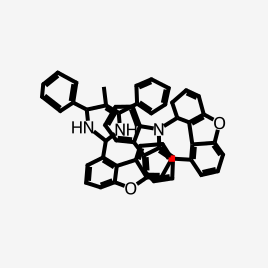 CC1=C(c2ccccc2)NC(c2cccc3oc4cc(-c5cccc6oc7c(c56)C(n5c6ccccc6c6ccccc65)CC=C7)ccc4c23)NC1c1ccccc1